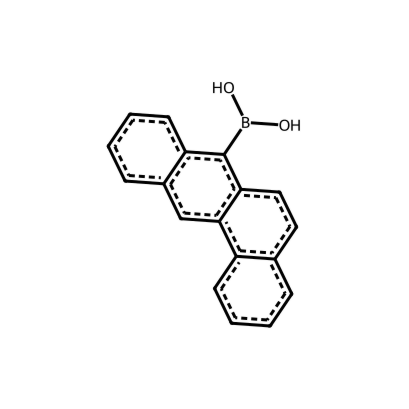 OB(O)c1c2ccccc2cc2c1ccc1ccccc12